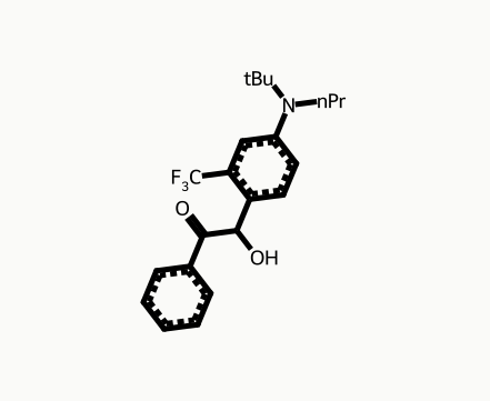 CCCN(c1ccc(C(O)C(=O)c2ccccc2)c(C(F)(F)F)c1)C(C)(C)C